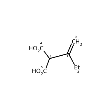 C=C(CC)C(C(=O)O)C(=O)O